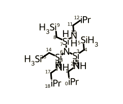 CC(C)CN[SiH](C[SiH3])N([SiH](C[SiH3])NCC(C)C)[SiH](C[SiH3])NCC(C)C